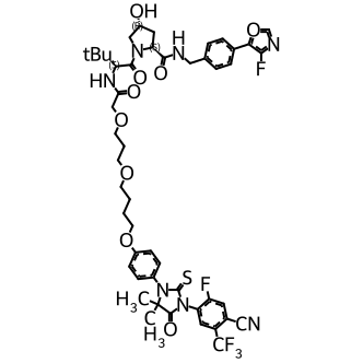 CC(C)(C)[C@H](NC(=O)COCCCOCCCCOc1ccc(N2C(=S)N(c3cc(C(F)(F)F)c(C#N)cc3F)C(=O)C2(C)C)cc1)C(=O)N1C[C@H](O)C[C@H]1C(=O)NCc1ccc(-c2ocnc2F)cc1